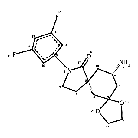 N[C@@H]1CC2(C[C@@]3(CCN(c4cc(F)cc(F)c4)C3=O)C1)OCCO2